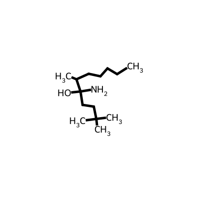 CCCCCC(C)C(N)(O)CCC(C)(C)C